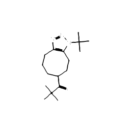 CC(C)(C)C(=O)C1CCCc2nnn(C(C)(C)C)c2CC1